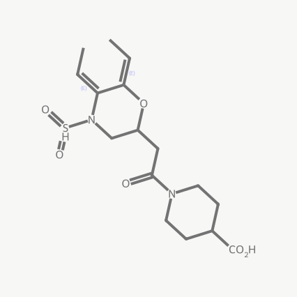 C/C=C1/OC(CC(=O)N2CCC(C(=O)O)CC2)CN([SH](=O)=O)/C1=C/C